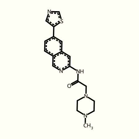 CN1CCN(CC(=O)Nc2cc3cc(-c4cncs4)ccc3cn2)CC1